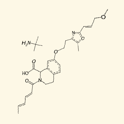 CC(C)(C)N.CC=CC=CC(=O)N1CCc2ccc(OCCc3nc(/C=C/COC)oc3C)cc2C1C(=O)O